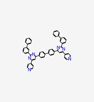 c1ccc(-c2cccc(-c3nc(-c4ccncc4)cc(-c4ccc(-c5ccc(-c6cc(-c7ccncc7)nc(-c7cccc(-c8ccccc8)c7)n6)cc5)cc4)n3)c2)cc1